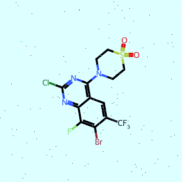 O=S1(=O)CCN(c2nc(Cl)nc3c(F)c(Br)c(C(F)(F)F)cc23)CC1